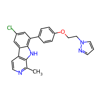 Cc1nccc2c1[nH]c1c(-c3ccc(OCCn4cccn4)cc3)cc(Cl)cc12